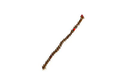 COS(=S)(=S)SSSSSSSSSSSSSSSSSSSSSSSSSSSSSSSSSSSSSSSSSSSSSSSSSSSSSSSSSSSSS